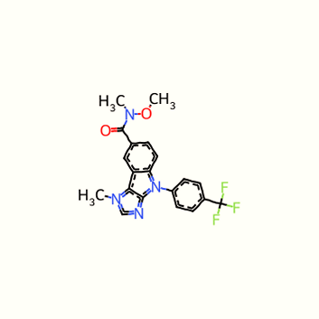 CON(C)C(=O)c1ccc2c(c1)c1c(ncn1C)n2-c1ccc(C(F)(F)F)cc1